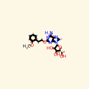 COc1ccccc1CCOc1nc(N)c2ncn([C@@H]3O[C@H](CO)C(O)C3O)c2n1